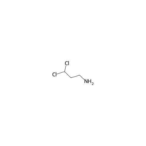 NCCC(Cl)Cl